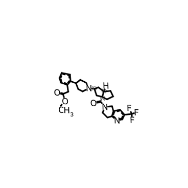 CCOC(=O)Cc1ccccc1C1CCN([C@H]2C[C@H]3CCC[C@@]3(C(=O)N3CCc4ncc(C(F)(F)F)cc4C3)C2)CC1